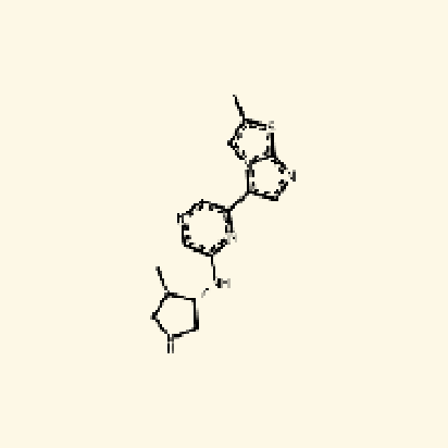 Cc1cn2c(-c3cncc(N[C@@H]4CNC[C@H]4C)n3)cnc2s1